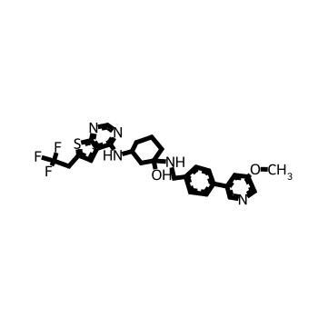 COc1cncc(-c2ccc(CNC3(O)CCCC(Nc4ncnc5sc(CC(F)(F)F)cc45)C3)cc2)c1